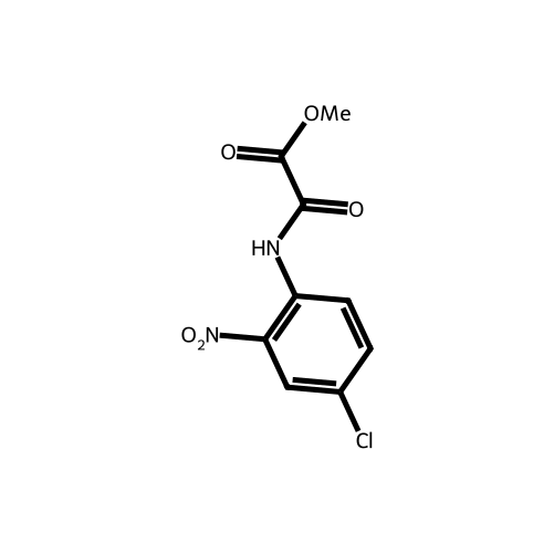 COC(=O)C(=O)Nc1ccc(Cl)cc1[N+](=O)[O-]